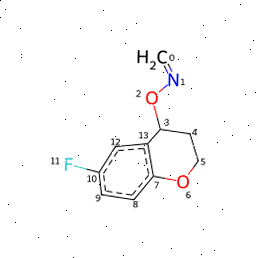 C=NOC1CCOc2ccc(F)cc21